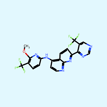 COc1nc(Nc2ccnc3nc(-c4ncncc4C(F)(F)F)ccc23)ccc1C(F)(F)F